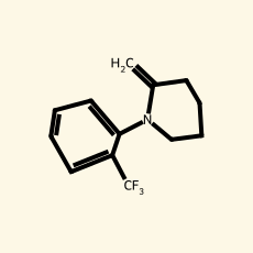 C=C1CCCCN1c1ccccc1C(F)(F)F